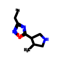 [2H]Cc1noc(C2CNCC2C)n1